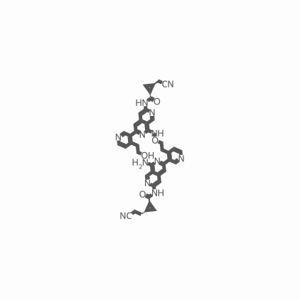 N#CCC[C@H]1C[C@@H]1C(=O)Nc1cc2cc(-c3cnccc3CCONc3nc(-c4cnccc4CCO)cc4cc(NC(=O)[C@@H]5C[C@H]5CC#N)ncc34)nc(N)c2cn1